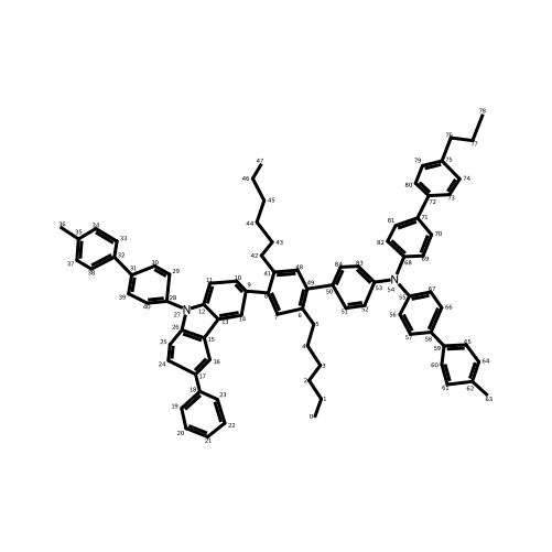 CCCCCCc1cc(-c2ccc3c(c2)c2cc(-c4ccccc4)ccc2n3-c2ccc(-c3ccc(C)cc3)cc2)c(CCCCCC)cc1-c1ccc(N(c2ccc(-c3ccc(C)cc3)cc2)c2ccc(-c3ccc(CCC)cc3)cc2)cc1